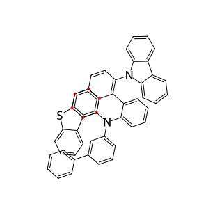 c1ccc(-c2cccc(N(c3ccccc3-c3c(-n4c5ccccc5c5ccccc54)ccc4ccccc34)c3cccc4sc5ccccc5c34)c2)cc1